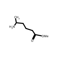 COC(=O)CCCC(C)N